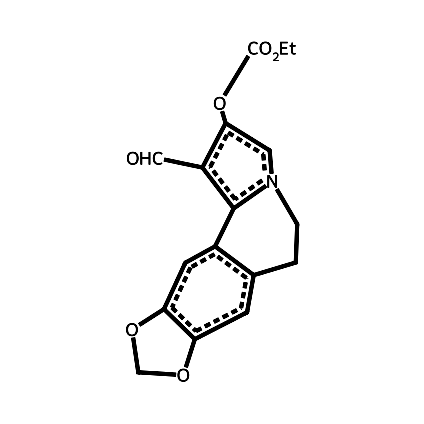 CCOC(=O)Oc1cn2c(c1C=O)-c1cc3c(cc1CC2)OCO3